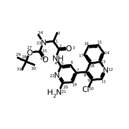 CC(C(=O)Nc1cc(-c2c(Cl)cnc3ccccc23)cc(N)n1)N(C)C(=O)OC(C)(C)C